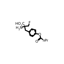 CCCC(=O)Oc1ccc(C[C@@](N)(CF)C(=O)O)cc1